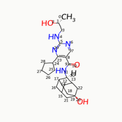 C[C@@H](O)CNc1ncc(C(=O)N[C@H]2C3CC4CC2C[C@@](O)(C4)C3)c(C2CCCC2)n1